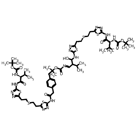 CC(C)C(/C=N/C(=O)OC(C)(C)Cc1ccc(CC(=O)Nc2nnc(CCSCCc3nnc(NC(=O)[C@@H](NC(=O)OC(C)(C)C)C(C)C)s3)s2)cc1)C(O)Nc1nnc(CCSCCc2nnc(NC(=O)[C@@H](NC(=O)OC(C)(C)C)C(C)C)s2)s1